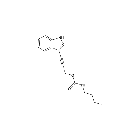 CCCCNC(=O)OCC#Cc1c[nH]c2ccccc12